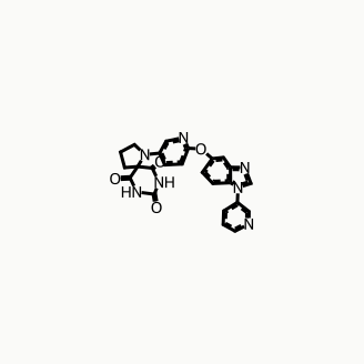 O=C1NC(=O)C2(CCCN2c2ccc(Oc3ccc4c(c3)ncn4-c3cccnc3)nc2)C(=O)N1